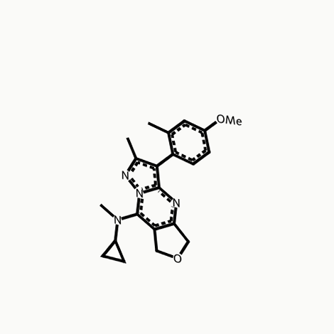 COc1ccc(-c2c(C)nn3c(N(C)C4CC4)c4c(nc23)COC4)c(C)c1